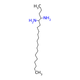 CCCCCCCCCCCCCCCC(N)C(N)CCC